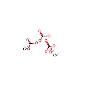 O.O=C([O-])[O-].O=C([O-])[O-].O=C([O-])[O-].[Yb+3].[Yb+3]